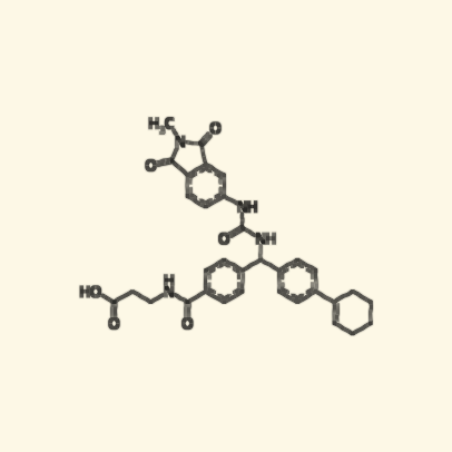 CN1C(=O)c2ccc(NC(=O)NC(c3ccc(C(=O)NCCC(=O)O)cc3)c3ccc(C4=CCCCC4)cc3)cc2C1=O